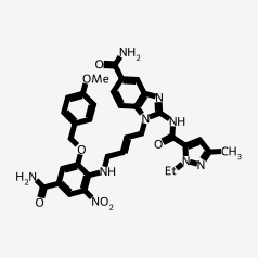 CCn1nc(C)cc1C(=O)Nc1nc2cc(C(N)=O)ccc2n1C/C=C/CNc1c(OCc2ccc(OC)cc2)cc(C(N)=O)cc1[N+](=O)[O-]